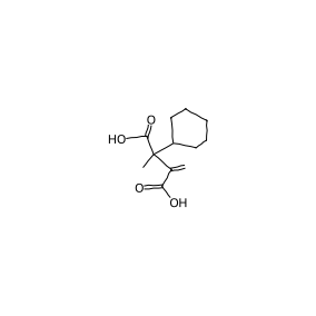 C=C(C(=O)O)C(C)(C(=O)O)C1CCCCC1